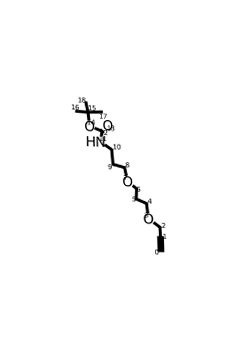 C#CCOCCCOCCCNC(=O)OC(C)(C)C